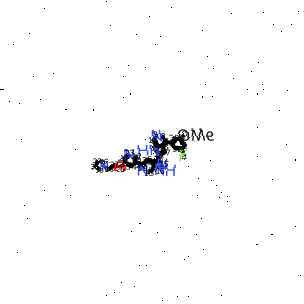 COc1cc(F)cc(-c2cncc3[nH]c(-c4n[nH]c5cnc(-c6cncc(OCCN7CCCC7)c6)cc45)cc23)c1